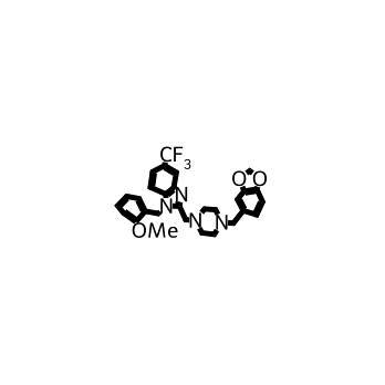 COc1ccccc1Cn1c(CN2CCN(Cc3ccc4c(c3)OCO4)CC2)nc2cc(C(F)(F)F)ccc21